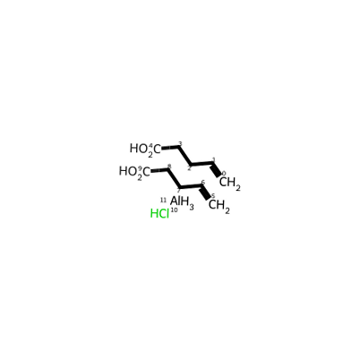 C=CCCC(=O)O.C=CCCC(=O)O.Cl.[AlH3]